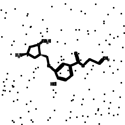 C=CCOC(=O)c1cccc(OC[C@@H]2C[C@@H](N)CN2C(=O)O)c1.Cl